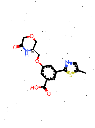 Cc1cnc(-c2cc(OC[C@H]3COCC(=O)N3)cc(C(=O)O)c2)s1